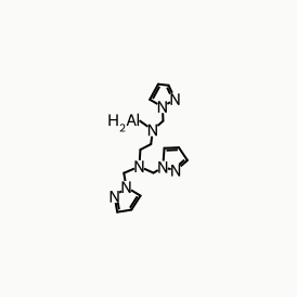 [AlH2][N](CCN(Cn1cccn1)Cn1cccn1)Cn1cccn1